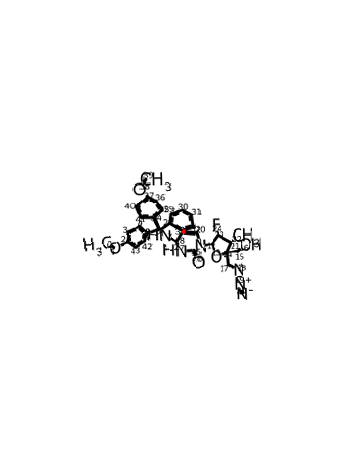 COc1ccc(C(NC2C=CN([C@@H]3O[C@@](CO)(CN=[N+]=[N-])[C@@H](C)[C@H]3F)C(=O)N2)(c2ccccc2)c2ccc(OC)cc2)cc1